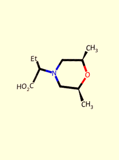 CCC(C(=O)O)N1C[C@@H](C)O[C@@H](C)C1